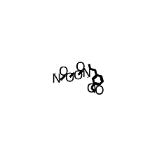 CC(Cc1ccc2c(c1)OCO2)N(C)C(=O)OCOC(=O)CN(C)C